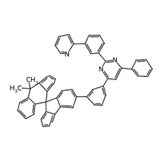 CC1(C)c2ccccc2C2(c3ccccc3-c3cc(-c4cccc(-c5cc(-c6ccccc6)nc(-c6cccc(-c7ccccn7)c6)n5)c4)ccc32)c2ccccc21